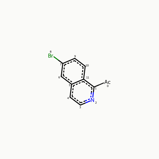 CC(=O)c1nccc2cc(Br)ccc12